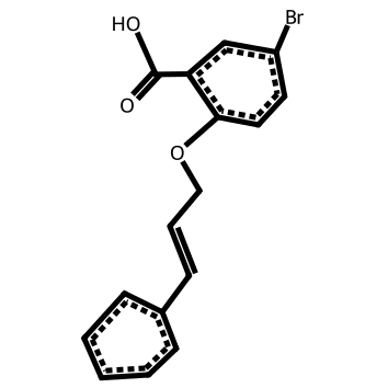 O=C(O)c1cc(Br)ccc1OC/C=C/c1ccccc1